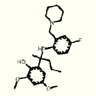 CCCC(C)(Pc1ccc(F)cc1CN1CCCCC1)c1cc(OC)cc(OC)c1O